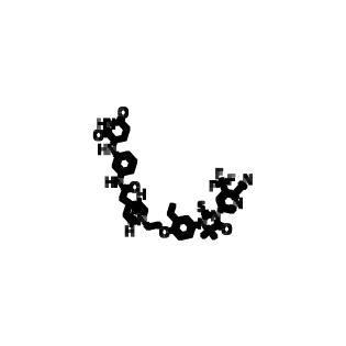 CCc1cc(N2C(=S)N(c3cnc(C#N)c(C(F)(F)F)c3)C(=O)C2(C)C)ccc1OCCN1C[C@H]2CC[C@@H]1CN2CC(=O)Nc1cccc(NC2CCC(=O)NC2=O)c1